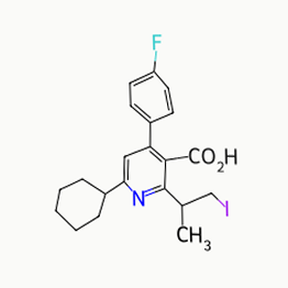 CC(CI)c1nc(C2CCCCC2)cc(-c2ccc(F)cc2)c1C(=O)O